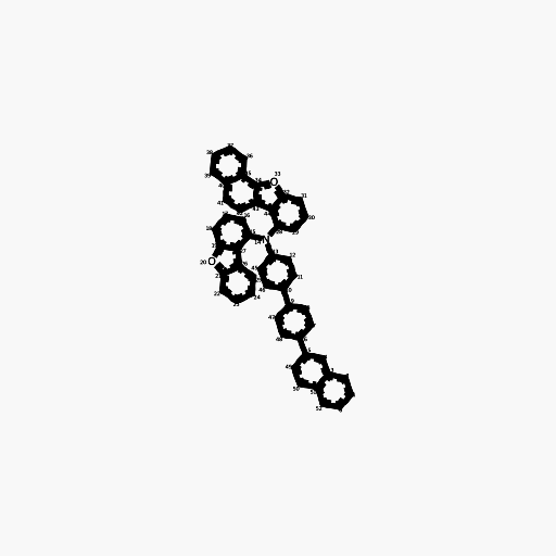 c1ccc2cc(-c3ccc(-c4ccc(N(c5cccc6oc7ccccc7c56)c5cccc6oc7c8ccccc8ccc7c56)cc4)cc3)ccc2c1